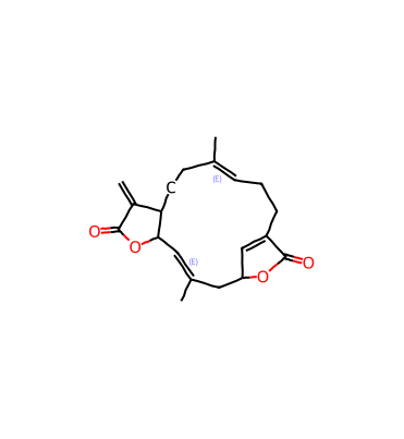 C=C1C(=O)OC2/C=C(\C)CC3C=C(CC/C=C(\C)CCC12)C(=O)O3